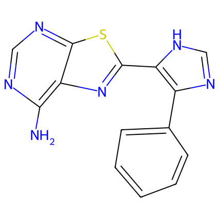 Nc1ncnc2sc(-c3[nH]cnc3-c3ccccc3)nc12